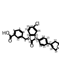 O=C(O)c1cccc(Cn2c(=O)n(-c3ccc(C4=CCOCC4)cc3)c3cc(Cl)ccc32)c1